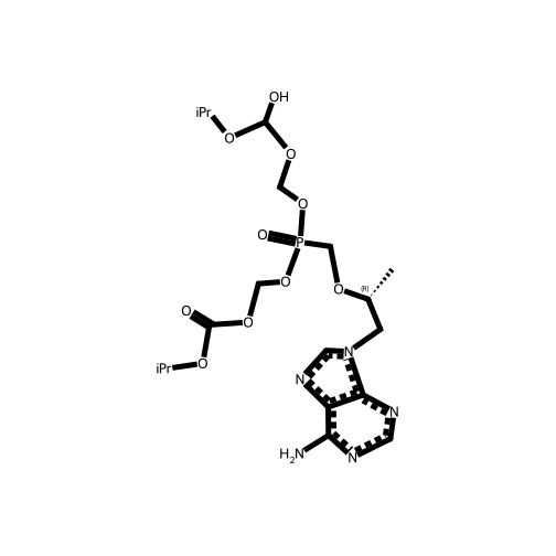 CC(C)OC(=O)OCOP(=O)(CO[C@H](C)Cn1cnc2c(N)ncnc21)OCOC(O)OC(C)C